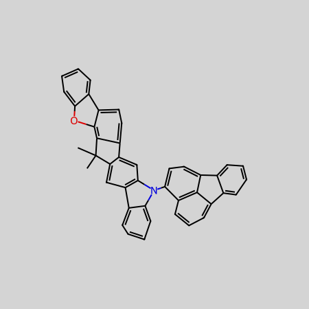 CC1(C)c2cc3c4ccccc4n(-c4ccc5c6c(cccc46)-c4ccccc4-5)c3cc2-c2ccc3c(oc4ccccc43)c21